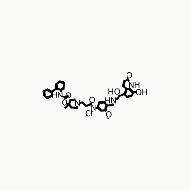 COc1cc(N(Cl)C(=O)CCN2CCC(C)(OC(=O)Nc3ccccc3-c3ccccc3)CC2)ccc1CNCC(O)c1ccc(O)c2[nH]c(=O)ccc12